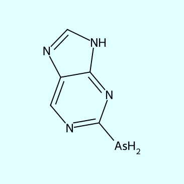 [AsH2]c1ncc2nc[nH]c2n1